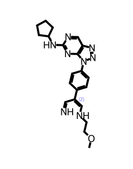 COCCN/C=C(\C=N)c1ccc(-n2nnc3cnc(NC4CCCC4)nc32)cc1